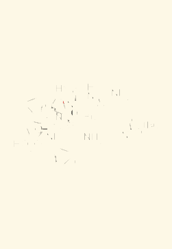 CC(C)(C)OC(=O)N1CCC(CCCCOc2ccc(C[C@H](NC(=O)[C@@](CCCCN)(N(C(=O)OC(C)(C)C)C(=O)C(CS)NC(=O)CNC(=O)CN)C(c3ccccc3)(c3ccccc3)c3ccccc3)C(=O)O)cc2)CC1